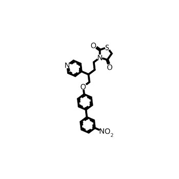 O=C1CSC(=O)N1CCC(COc1ccc(-c2cccc([N+](=O)[O-])c2)cc1)c1ccncc1